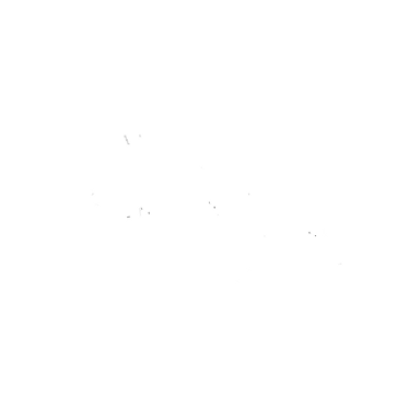 CC(C)NC(=O)CN1CCN(C(C)C)C(C)C1